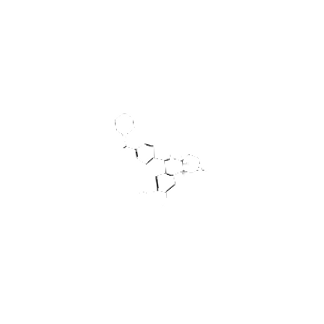 CCOc1cc2c(cc1OCC)[C@H]1CN(C)CC[C@H]1N=C2c1ccc(C(=O)N2CCCCC2)cc1